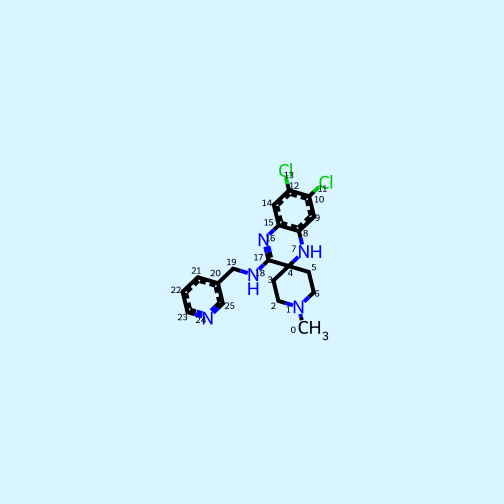 CN1CCC2(CC1)Nc1cc(Cl)c(Cl)cc1N=C2NCc1cccnc1